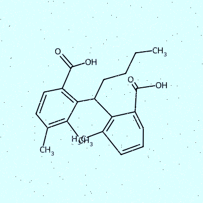 CCCCC(c1c(C)cccc1C(=O)O)c1c(C(=O)O)ccc(C)c1C